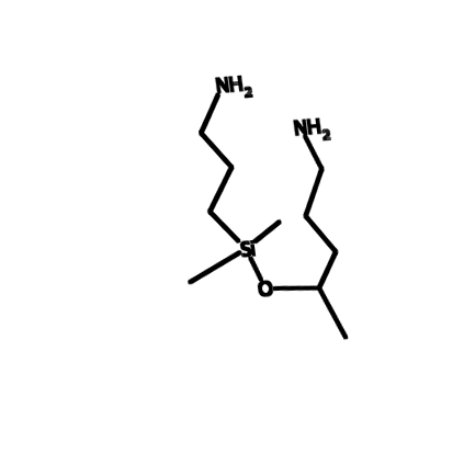 CC(CCCN)O[Si](C)(C)CCCN